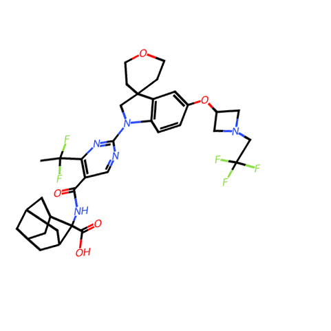 CC(F)(F)c1nc(N2CC3(CCOCC3)c3cc(OC4CN(CC(F)(F)F)C4)ccc32)ncc1C(=O)NC1(C(=O)O)C2CC3CC(C2)CC1C3